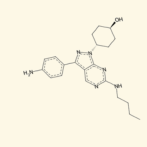 CCCCNc1ncc2c(-c3ccc(N)cc3)nn([C@H]3CC[C@H](O)CC3)c2n1